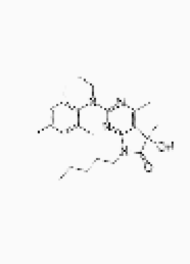 CCCCCN1C(=O)C(C)(O)c2c(C)nc(N(CC)c3c(C)cc(C)cc3C)nc21